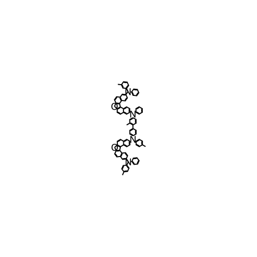 Cc1ccc(N(c2ccccc2)c2ccc3c(ccc4oc5ccc6cc(N(c7ccc(C)cc7)c7ccc(-c8ccc(N(c9ccccc9)c9ccc%10c(ccc%11oc%12ccc%13cc(N(c%14ccccc%14)c%14cccc(C)c%14)ccc%13c%12c%11%10)c9)cc8C)cc7)ccc6c5c43)c2)cc1